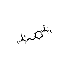 CC(C)NCCC1CCN(C(C)C)CC1